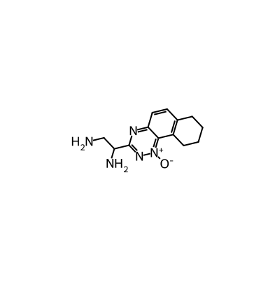 NCC(N)c1nc2ccc3c(c2[n+]([O-])n1)CCCC3